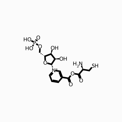 N[C@@H](CS)C(=O)OC(=O)c1ccc[n+]([C@@H]2O[C@H](COP(=O)(O)O)[C@@H](O)[C@H]2O)c1